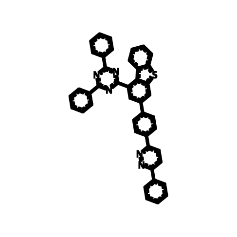 c1ccc(-c2ccc(-c3ccc(-c4cc(-c5nc(-c6ccccc6)nc(-c6ccccc6)n5)c5c(c4)sc4ccccc45)cc3)nn2)cc1